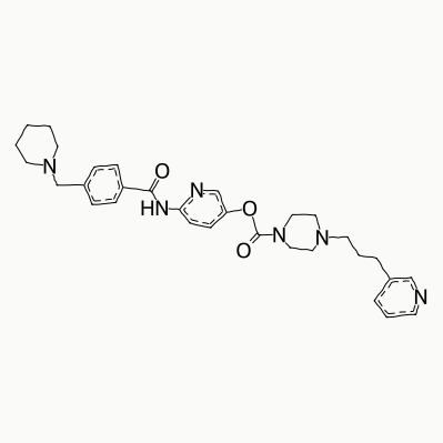 O=C(Nc1ccc(OC(=O)N2CCN(CCCc3cccnc3)CC2)cn1)c1ccc(CN2CCCCC2)cc1